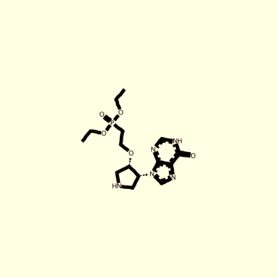 CCOP(=O)(CCO[C@H]1CNC[C@H]1n1cnc2c(=O)[nH]cnc21)OCC